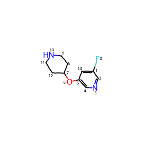 Fc1cncc(OC2CCNCC2)c1